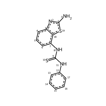 Nc1nc2cccc(NC(=S)Nc3ccccc3)c2s1